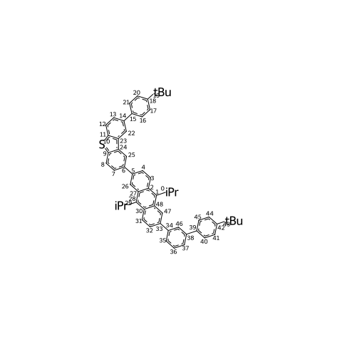 CC(C)c1c2ccc(-c3ccc4sc5ccc(-c6ccc(C(C)(C)C)cc6)cc5c4c3)cc2c(C(C)C)c2ccc(-c3cccc(-c4ccc(C(C)(C)C)cc4)c3)cc12